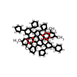 Cc1cc(C)c(B2c3ccccc3-c3cc(-c4c(-c5ccccc5)cc(-c5ccccc5)cc4-c4ccccc4)c4cc5c6c(cc(-c7c(-c8ccccc8)cc(-c8ccccc8)cc7-c7ccccc7)c7cc2c3c4c76)-c2ccccc2B5c2c(C)cc(C)cc2C)c(C)c1